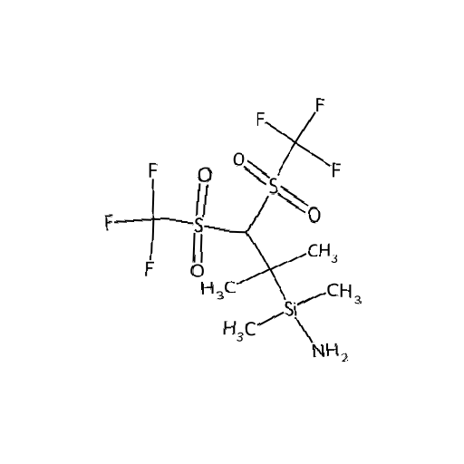 CC(C)(C(S(=O)(=O)C(F)(F)F)S(=O)(=O)C(F)(F)F)[Si](C)(C)N